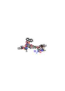 COc1cc(C(=O)N2C=C(C)C[C@H]2CO[Si](C)(C)C(C)(C)C)c(N)cc1OCCCCCOc1cc(N(C)C(=O)OC2c3ccccc3-c3ccccc32)c(C(=O)N2C=C(C)C[C@H]2CO[Si](C)(C)C(C)(C)C)cc1OC